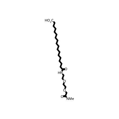 CNC(=O)COCCOCCNC(=O)CCCCCCCCCCCCCCCCC(=O)O